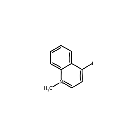 C[n+]1ccc(I)c2ccccc21